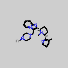 Cc1cccnc1[C@@H]1CCC[C@H](c2nc3ccccn3c2CN2CCN(C(C)C)CC2)N1C